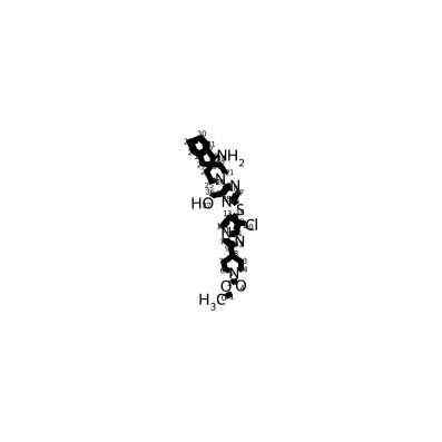 CCOC(=O)N1CCC(c2cn3ccc(Sc4cnc(N5CCC6(CC5)Cc5ccccc5[C@H]6N)c(CO)n4)c(Cl)c3n2)CC1